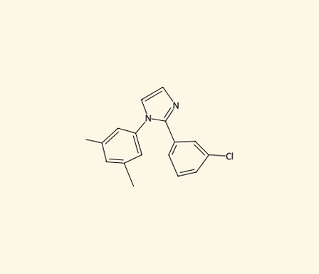 Cc1cc(C)cc(-n2ccnc2-c2cccc(Cl)c2)c1